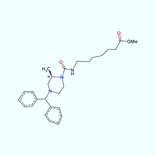 COC(=O)CCCCCCNC(=O)N1CCN(C(c2ccccc2)c2ccccc2)C[C@H]1C